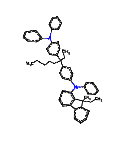 CCCCCC(CC)(c1ccc(N(c2ccccc2)c2ccccc2)cc1)c1ccc(N(c2ccccc2)c2cccc3c2C(C)(CC)c2ccccc2-3)cc1